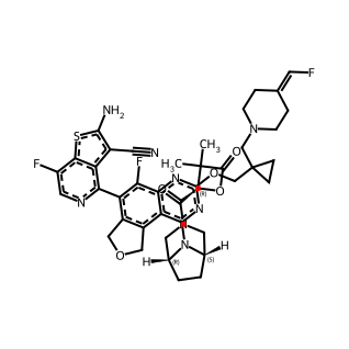 CC1(C)C(=O)O[C@H]1C(=O)N1C[C@H]2CC[C@@H](C1)N2c1nc(OCC2(CN3CCC(=CF)CC3)CC2)nc2c(F)c(-c3ncc(F)c4sc(N)c(C#N)c34)c3c(c12)COC3